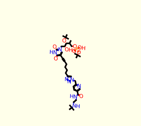 CC(COP(=O)(O)OC(C)(C)C)C(OC(C)(C)C)C(O)Cn1cc(C#CCCCCc2cn(Cc3ccc(C(=O)NCCNC(C)(C)C)cn3)nn2)c(=O)[nH]c1=O